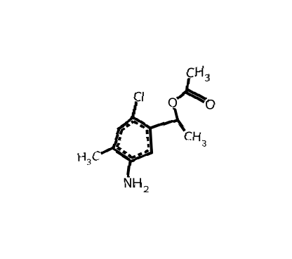 CC(=O)OC(C)c1cc(N)c(C)cc1Cl